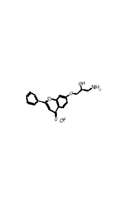 Cl.NCC(O)COc1ccc2c(=O)cc(-c3ccccc3)oc2c1